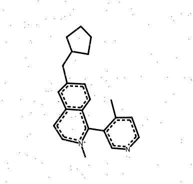 Cc1ccncc1-c1c2ccc(CC3CCCC3)cc2cc[n+]1C